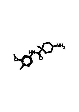 COc1cc(NC(=O)C2(C)CCC(N)CC2)ccc1C